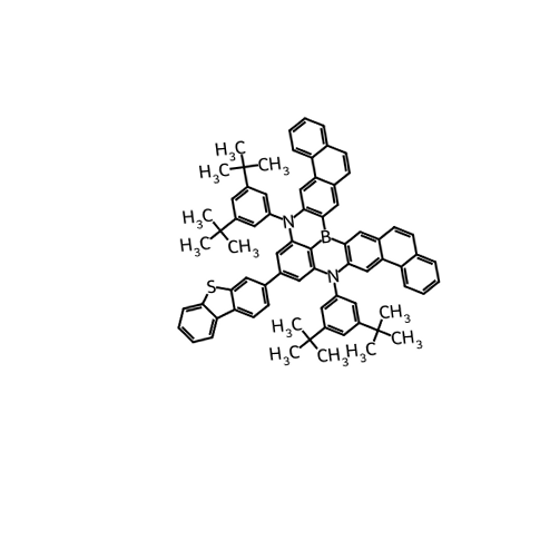 CC(C)(C)c1cc(N2c3cc4c(ccc5ccccc54)cc3B3c4cc5ccc6ccccc6c5cc4N(c4cc(C(C)(C)C)cc(C(C)(C)C)c4)c4cc(-c5ccc6c(c5)sc5ccccc56)cc2c43)cc(C(C)(C)C)c1